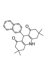 CC1(C)CC(=O)C2=C(C1)NC1=C(C(=O)CC(C)(C)C1)C2c1ccc2ccccc2c1